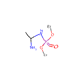 CCOP(=O)(NC(C)N)OCC